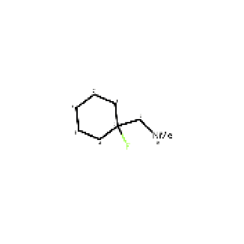 CNCC1(F)CCCCC1